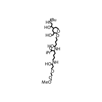 COCOCCOCCC(O)NCCCCC(NC(O)CCCCOC1OCCC(C(O)CNC(C)(C)C)CC1CO)C(=O)C(C)C